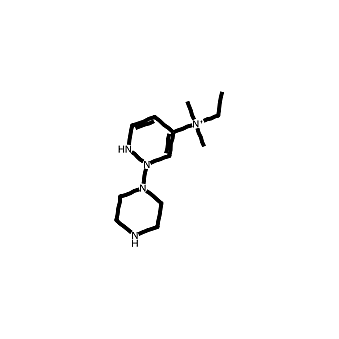 CC[N+](C)(C)C1=CN(N2CCNCC2)NC=C1